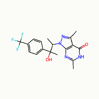 Cc1nc2c(c(C)nn2C(C)C(C)(O)c2ccc(C(F)(F)F)cc2)c(=O)[nH]1